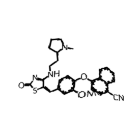 COc1cc(C=C2SC(=O)N=C2NCCC2CCCN2C)ccc1Oc1ccc(C#N)c2ccccc12